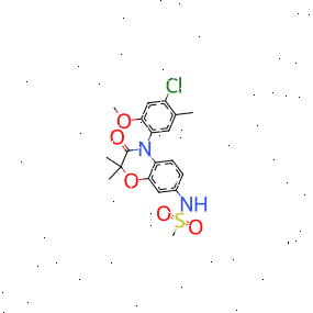 COc1cc(Cl)c(C)cc1N1C(=O)C(C)(C)Oc2cc(NS(C)(=O)=O)ccc21